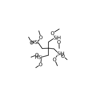 CO[SiH](CC(C[SiH](OC)OC)(C[SiH](OC)OC)C[SiH](OC)OC)OC